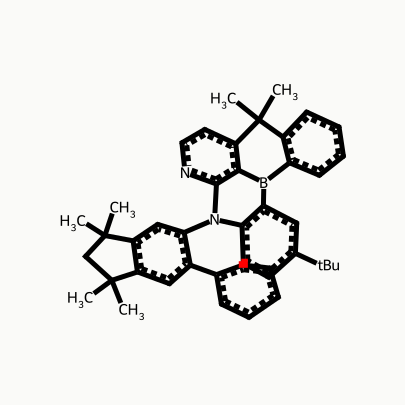 CC(C)(C)c1ccc2c(c1)B1c3ccccc3C(C)(C)c3ccnc(c31)N2c1cc2c(cc1-c1ccccc1)C(C)(C)CC2(C)C